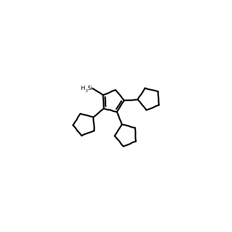 [SiH3]C1=C(C2CCCC2)C(C2CCCC2)=C(C2CCCC2)C1